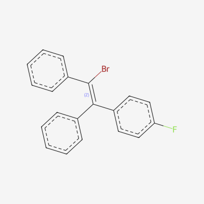 Fc1ccc(/C(=C(\Br)c2ccccc2)c2ccccc2)cc1